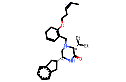 C/C=C\CCOC1=C(CN2C[C@@H](C3Cc4ccccc4C3)NC(=O)[C@H]2C(CC)CC)C=CCC1